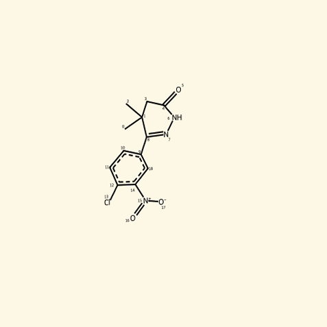 CC1(C)CC(=O)NN=C1c1ccc(Cl)c([N+](=O)[O-])c1